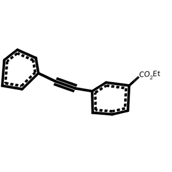 CCOC(=O)c1cccc(C#Cc2ccccc2)c1